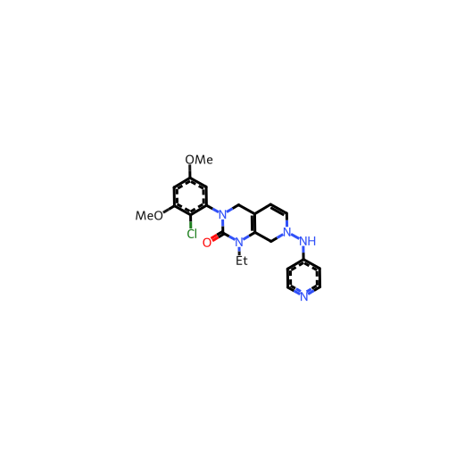 CCN1C(=O)N(c2cc(OC)cc(OC)c2Cl)CC2=C1CN(Nc1ccncc1)C=C2